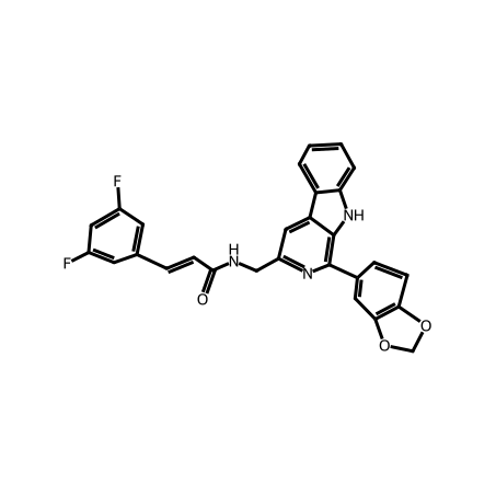 O=C(/C=C/c1cc(F)cc(F)c1)NCc1cc2c([nH]c3ccccc32)c(-c2ccc3c(c2)OCO3)n1